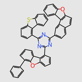 c1ccc(-c2cccc3c2oc2cccc(-c4nc(-c5ccc6ccc7oc8ccccc8c7c6c5)nc(-c5cccc6sc7ccccc7c56)n4)c23)cc1